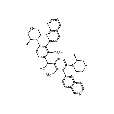 COc1c(C(O)c2ccc(N3CCOC[C@@H]3C)c(-c3ccc4cncnc4n3)c2OC)ccc(N2CCOC[C@@H]2C)c1-c1ccc2cncnc2n1